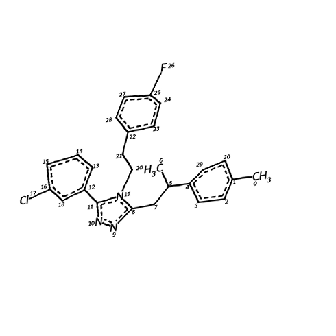 Cc1ccc(C(C)Cc2nnc(-c3cccc(Cl)c3)n2CCc2ccc(F)cc2)cc1